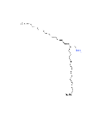 CCCCCCCCCCCCCCCCCCCCCCCC(CN)CCCCCCCCCCCCCCCCCCCCCC